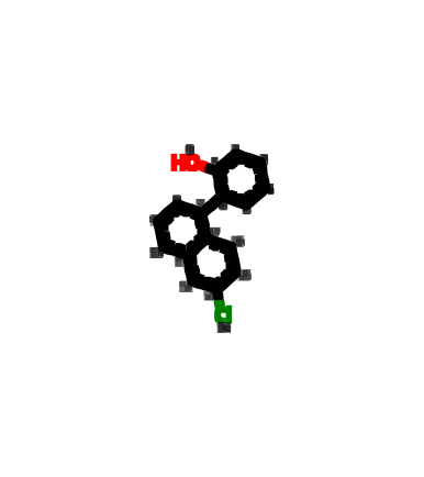 Oc1ccccc1-c1cccc2cc(Cl)ccc12